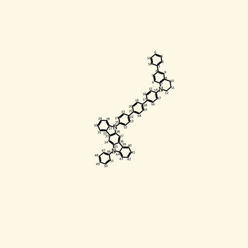 c1ccc(-c2ccc3c(c2)CCCN3c2ccc(-c3ccc(-c4ccc(-n5c6ccccc6c6cc7c(cc65)c5ccccc5n7-c5ccccc5)cc4)cc3)cc2)cc1